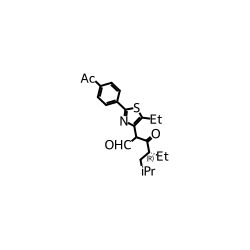 CCc1sc(-c2ccc(C(C)=O)cc2)nc1C(C=O)C(=O)[C@H](CC)CC(C)C